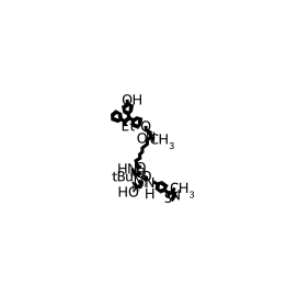 CCC(=C(c1ccc(O)cc1)c1ccc(OCCN(C)C(=O)CCCCCCC(=O)N[C@H](C(=O)N2C[C@H](O)C[C@H]2C(=O)NCc2ccc(-c3scnc3C)cc2)C(C)(C)C)cc1)c1ccccc1